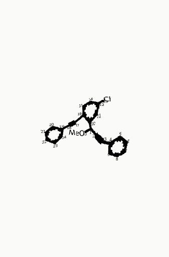 COC(C#Cc1ccccc1)c1cc(Cl)ccc1C#Cc1ccccc1